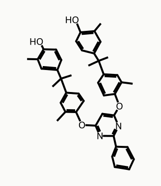 Cc1cc(C(C)(C)c2ccc(Oc3cc(Oc4ccc(C(C)(C)c5ccc(O)c(C)c5)cc4C)nc(-c4ccccc4)n3)c(C)c2)ccc1O